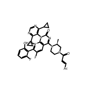 CC(=O)/C=C/C(=O)N1CCN(c2nc(=O)n(-c3c(C4CC4)ncnc3C3CC3)c3c2cc(F)c(-c2c(O)cccc2F)[n+]3[O-])[C@@H](C)C1